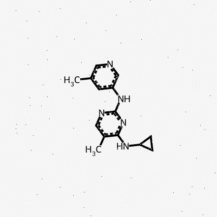 Cc1cncc(Nc2ncc(C)c(NC3CC3)n2)c1